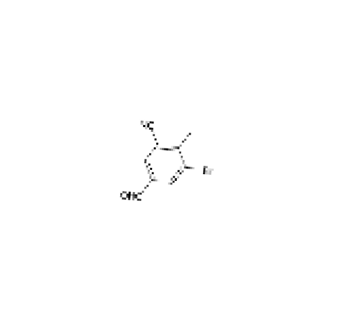 Cc1c(Br)cc(C=O)cc1C#N